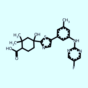 Cc1cc(Nc2ncc(F)cn2)cc(-c2cnc(C3(O)CCC(C(=O)O)C(C)(C)C3)s2)c1